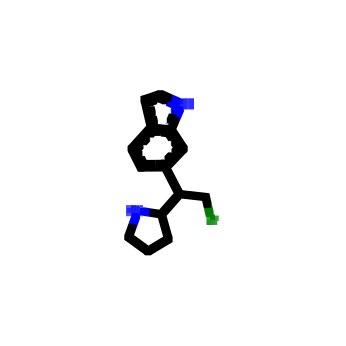 BrCC(c1ccc2cc[nH]c2c1)C1CCCN1